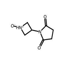 O=C1CCC(=O)N1C1C[NH+]([O-])C1